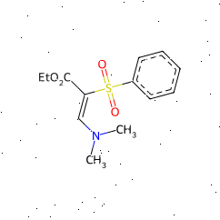 CCOC(=O)/C(=C/N(C)C)S(=O)(=O)c1ccccc1